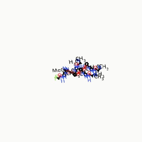 COc1ncnc(OCCOc2cccc(OCOc3cccc(OCOc4ccccc4-c4cc5cc(NC(=O)C6CC6CN(C)C)ncc5n4C)c3-c3cc4cc(NC(=O)C5CC5CN(C)C)ncc4n3C)c2-c2cc3cc(NC(=O)C4CC4CN(C)C)ncc3n2C)c1-c1cc2cc(NC(=O)C3CC3(F)F)ncc2n1C